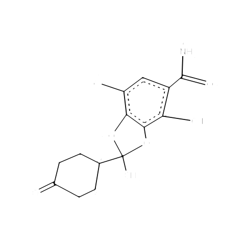 Cc1c(C(N)=O)cc(Cl)c2c1OC(C)(C1CCC(=O)CC1)O2